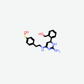 NC1=NC(NCCc2ccc(SO)cc2)=CC(c2ccccc2CO)N1